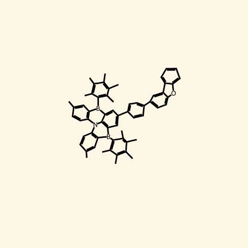 Cc1ccc2c(c1)B(c1c(C)c(C)c(C)c(C)c1C)c1cc(-c3ccc(-c4ccc5oc6ccccc6c5c4)cc3)cc3c1N2c1ccc(C)cc1B3c1c(C)c(C)c(C)c(C)c1C